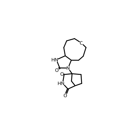 O=C1NC(=O)C2(N3C(=O)NC4CCCCCCCC43)CCC1C2